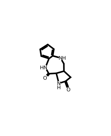 O=C1CC2CNc3ccccc3NC(=O)C2N1